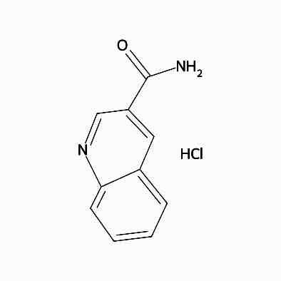 Cl.NC(=O)c1cnc2ccccc2c1